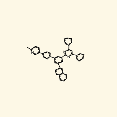 Cc1ccc(-c2ccc(-c3cc(-c4ccc5ccccc5c4)cc(-c4nc(-c5ccccc5)cc(-c5ccccc5)n4)c3)cc2)cn1